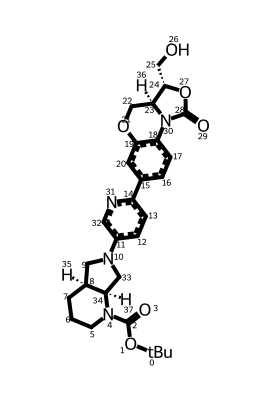 CC(C)(C)OC(=O)N1CCC[C@H]2CN(c3ccc(-c4ccc5c(c4)OC[C@H]4[C@H](CO)OC(=O)N54)nc3)C[C@H]21